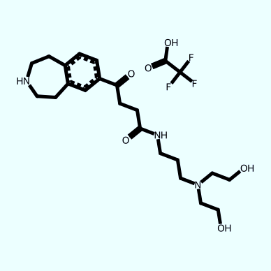 O=C(CCC(=O)c1ccc2c(c1)CCNCC2)NCCCN(CCO)CCO.O=C(O)C(F)(F)F